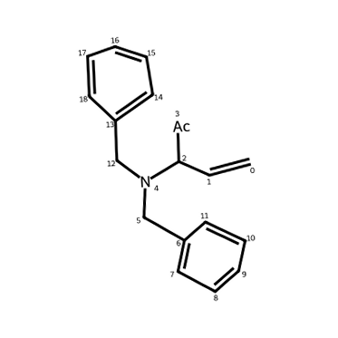 C=CC(C(C)=O)N(Cc1ccccc1)Cc1ccccc1